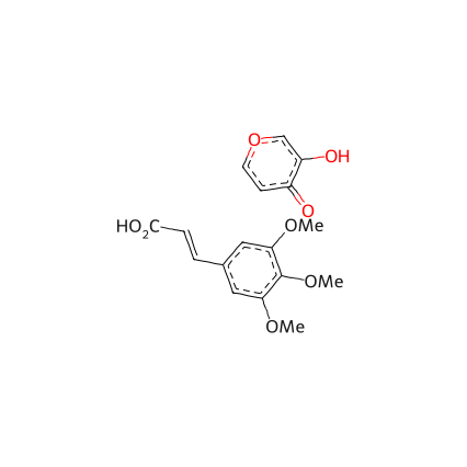 COc1cc(C=CC(=O)O)cc(OC)c1OC.O=c1ccocc1O